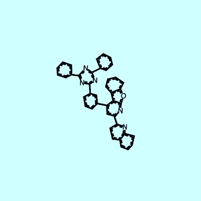 c1ccc(-c2nc(-c3ccccc3)nc(-c3cccc(-c4cc(-c5ccc6ccccc6n5)nc5oc6ccccc6c45)c3)n2)cc1